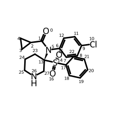 O=C(C1CC1)N(c1ccc(Cl)cc1)[C@]1(S(=O)(=O)c2ccccc2)CCCNC1